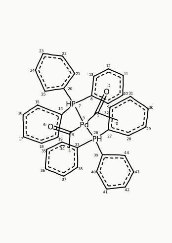 C[C](=O)[Pd]([C](C)=O)([PH](c1ccccc1)(c1ccccc1)c1ccccc1)[PH](c1ccccc1)(c1ccccc1)c1ccccc1